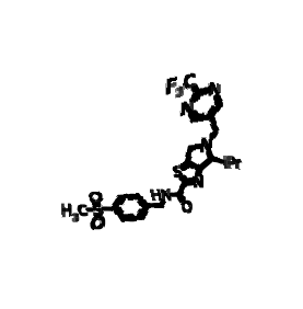 CC(C)C1c2nc(C(=O)NCc3ccc(S(C)(=O)=O)cc3)sc2CN1Cc1cnc(C(F)(F)F)nc1